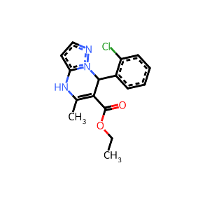 CCOC(=O)C1=C(C)Nc2ccnn2C1c1ccccc1Cl